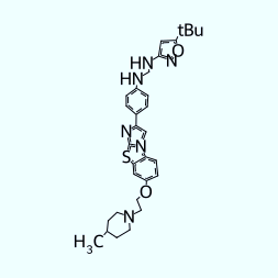 CC1CCN(CCOc2ccc3c(c2)sc2nc(-c4ccc(NCNc5cc(C(C)(C)C)on5)cc4)cn23)CC1